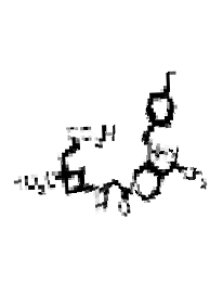 O=C(O)CCC1(C(=O)O)CC(NCC(=O)N2CCc3c(C(F)(F)F)nn(Cc4ccc(F)cc4)c3C2)C1